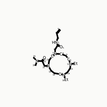 C=CCNC(=O)CN1CCCN(CC)CCN(CC)CCCN(CC(=O)N(C)C)CC1